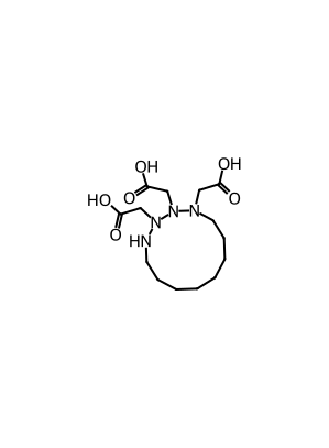 O=C(O)CN1CCCCCCCCNN(CC(=O)O)N1CC(=O)O